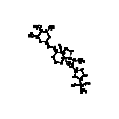 C=C1[C@H](O)CC(=C/C=C2\CCC[C@]3(C)[C@@H]([C@H](C)CN4CC[C@@H](C(C)(F)F)C4)CC[C@@H]23)C[C@H]1O